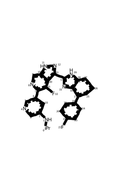 CC(C)Nc1cncc(-c2ncc3[nH]nc(-c4nc5c(-c6ccc(F)cc6)cccc5[nH]4)c3c2F)c1